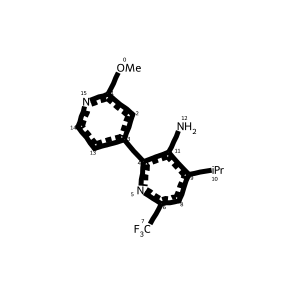 COc1cc(-c2nc(C(F)(F)F)cc(C(C)C)c2N)ccn1